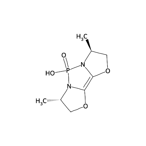 C[C@H]1COC2=C3OC[C@H](C)N3P(=O)(O)N21